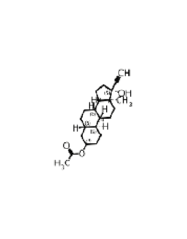 C#C[C@]1(O)CC[C@H]2[C@@H]3CC[C@H]4C[C@H](OC(C)=O)CC[C@@H]4[C@H]3CC[C@@]21C